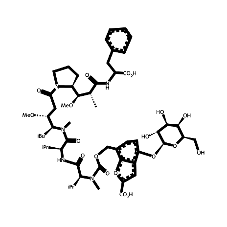 CCC(C)[C@@H]([C@@H](CC(=O)N1CCC[C@H]1[C@H](OC)[C@@H](C)C(=O)NC(Cc1ccccc1)C(=O)O)OC)N(C)C(=O)[C@@H](NC(=O)[C@H](C(C)C)N(C)C(=O)OCc1ccc(O[C@@H]2O[C@H](CO)[C@H](O)[C@H](O)[C@H]2O)c2cc(C(=O)O)oc12)C(C)C